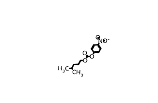 CC(C)CCCOC(=O)Oc1ccc([N+](=O)[O-])cc1